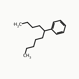 [CH2]CCCC(CCCCC)c1ccccc1